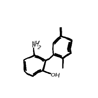 Cc1ccc(C)c(-c2c(N)cccc2O)c1